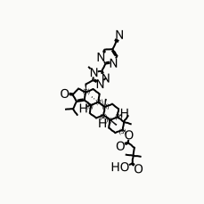 CC(C)C1=C2[C@H]3CC[C@@H]4[C@@]5(C)CC[C@H](OC(=O)CC(C)(C)C(=O)O)C(C)(C)[C@@H]5CC[C@@]4(C)[C@]3(C)CC[C@@]2(Cc2nnc(-c3ncc(C#N)cn3)n2C)CC1=O